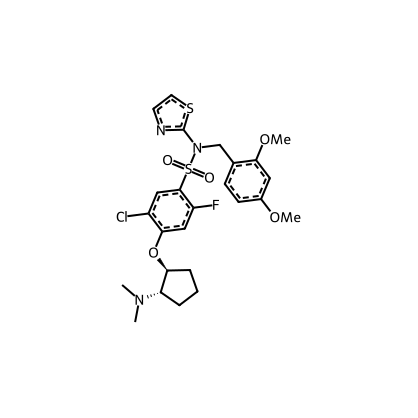 COc1ccc(CN(c2nccs2)S(=O)(=O)c2cc(Cl)c(O[C@H]3CCC[C@@H]3N(C)C)cc2F)c(OC)c1